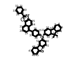 CC1(C)c2ccccc2C2C=CC(N(c3ccc(-c4cccc5c4ccc4nc(-c6ccccc6)oc45)cc3)c3ccc4sc5ccccc5c4c3)=CC21